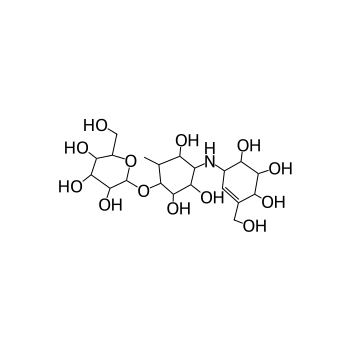 CC1C(O)C(NC2C=C(CO)C(O)C(O)C2O)C(O)C(O)C1OC1OC(CO)C(O)C(O)C1O